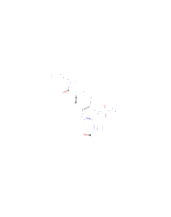 CC(=O)Nc1nc2c(n1S(=O)(=O)N(C)C)CCC(C(=O)NN)=C2